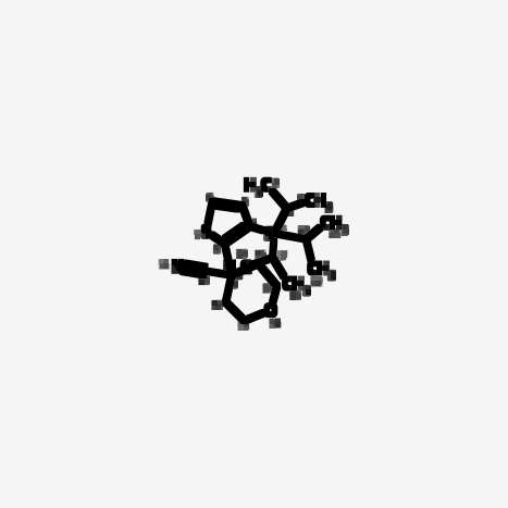 CC(C)[Si](c1ccsc1C1(C#N)CCOCC1)(C(C)C)C(C)C